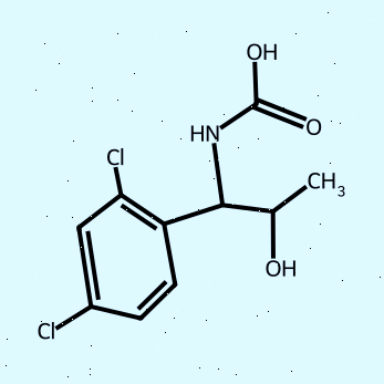 CC(O)C(NC(=O)O)c1ccc(Cl)cc1Cl